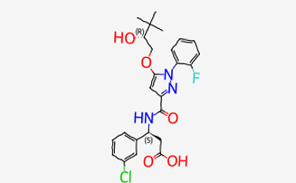 CC(C)(C)[C@@H](O)COc1cc(C(=O)N[C@@H](CC(=O)O)c2cccc(Cl)c2)nn1-c1ccccc1F